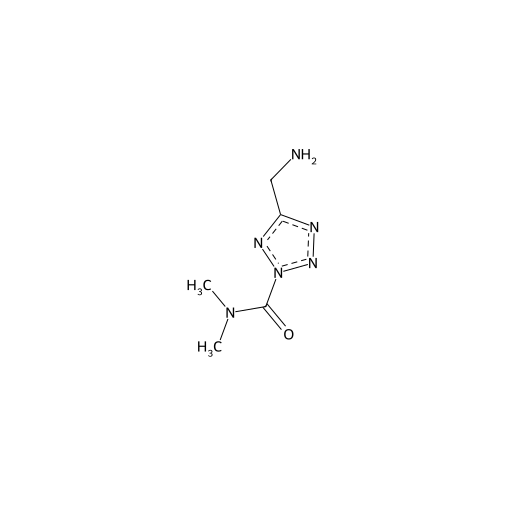 CN(C)C(=O)n1nnc(CN)n1